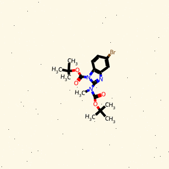 CN(C(=O)OC(C)(C)C)c1nc2cc(Br)ccc2n1C(=O)OC(C)(C)C